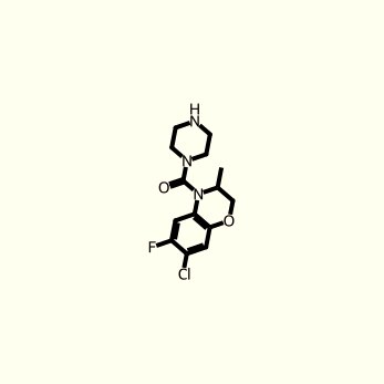 CC1COc2cc(Cl)c(F)cc2N1C(=O)N1CCNCC1